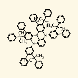 CC(C)(c1ccccc1)c1cc(N2c3cc(C(C)(C)c4ccccc4)c(-c4ccccc4)cc3B3c4cc(-c5ccccc5)c(C(C)(C)c5ccccc5)cc4N(c4ccc(-c5ccccc5)c(C(C)(C)c5ccccc5)c4)c4cccc2c43)ccc1-c1ccccc1